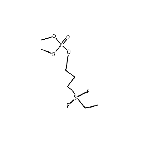 CC[Si](F)(F)CCCOP(=O)(OC)OC